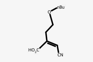 CCCCOCC/C(=C/C#N)C(=O)O